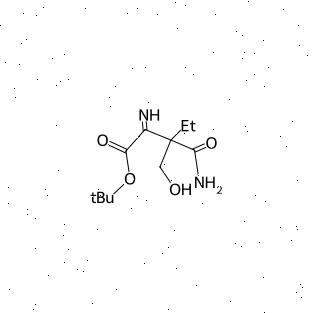 CCC(CO)(C(=N)C(=O)OC(C)(C)C)C(N)=O